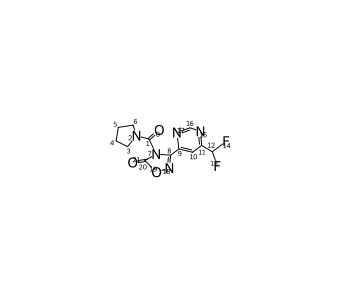 O=C(N1CCCC1)n1c(-c2cc(C(F)F)ncn2)noc1=O